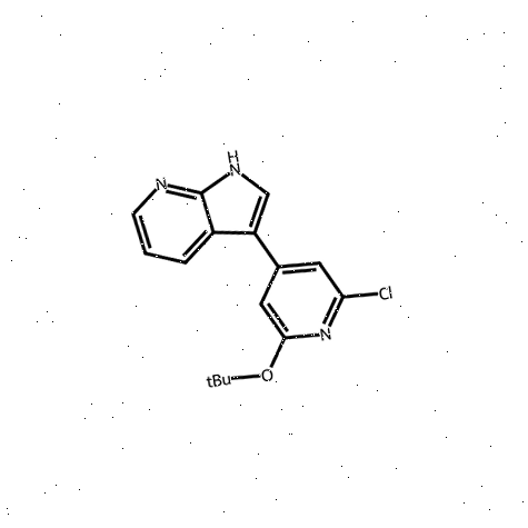 CC(C)(C)Oc1cc(-c2c[nH]c3ncccc23)cc(Cl)n1